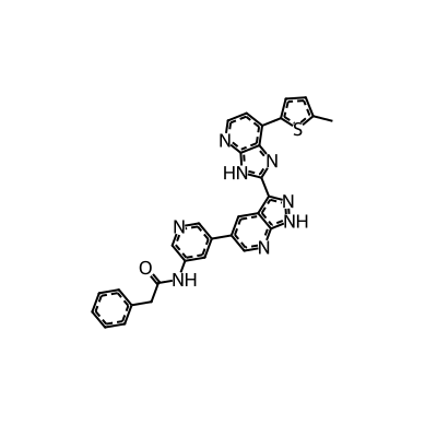 Cc1ccc(-c2ccnc3[nH]c(-c4n[nH]c5ncc(-c6cncc(NC(=O)Cc7ccccc7)c6)cc45)nc23)s1